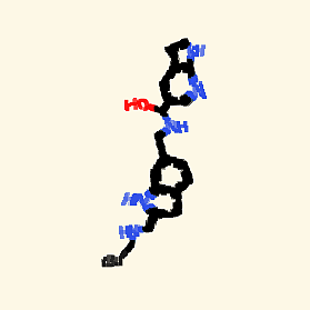 CC(C)(C)CNCc1cc2ccc(CNC(O)c3cnc4[nH]ccc4c3)cc2[nH]1